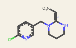 O=[N+]([O-])/C=C1/NCCCN1Cc1ccc(Cl)nc1